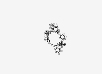 CC1(C)OCCCC(c2ccccc2)n2cc(F)c(n2)-c2cccc(c2)Oc2ccc3[nH]ccc3c2Cn2cc1nn2